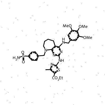 CCOC(=O)c1sc(Nc2nc(NCc3cc(OC)c(OC)c(OC)c3)c3c(n2)N(Cc2ccc(S(N)(=O)=O)cc2)CCCC3)nc1C